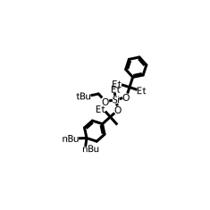 CCCCC1(CCCC)C=CC(C(C)(CC)O[Si](CC)(OCC(C)(C)C)OC(CC)(CC)c2ccccc2)=CC1